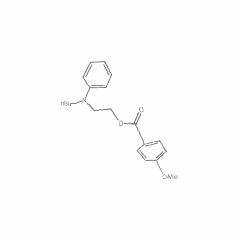 CCCCN(CCOC(=O)c1ccc(OC)cc1)c1ccccc1